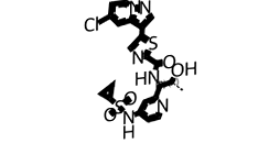 C[C@@H](O)[C@H](NC(=O)c1ncc(-c2cnn3ccc(Cl)cc23)s1)c1cc(NS(=O)(=O)C2CC2)ccn1